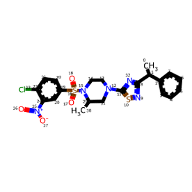 CC(c1ccccc1)c1nsc(N2CCN(S(=O)(=O)c3ccc(Cl)c([N+](=O)[O-])c3)C(C)C2)n1